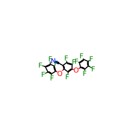 N#Cc1c(F)c(F)c(Oc2c(F)c(F)c(F)c(F)c2F)c(F)c1Oc1c(F)c(F)c(F)c(F)c1F